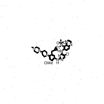 CCN(c1c(Nc2nc(Nc3cc(CC4CC4)c(N4CCC(N5CCN(C)CC5)CC4)cc3OC)ncc2Cl)ccc2nccnc12)S(C)(=O)=O